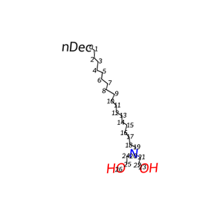 CCCCCCCCCCCCCCCCCCCCCCCCCCCCCN(CCO)CCO